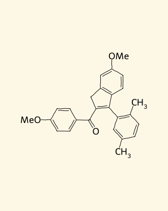 COc1ccc(C(=O)C2=C(c3cc(C)ccc3C)c3ccc(OC)cc3C2)cc1